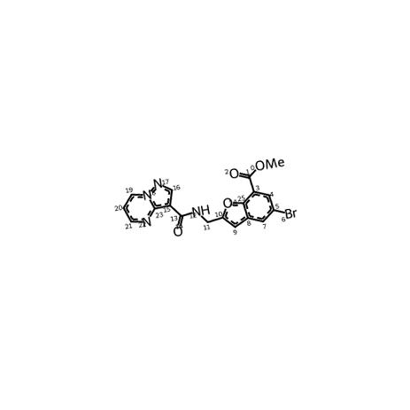 COC(=O)c1cc(Br)cc2cc(CNC(=O)c3cnn4cccnc34)oc12